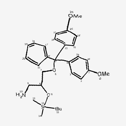 COc1ccc(C(OCC(CN)O[Si](C)(C)C(C)(C)C)(c2ccccc2)c2ccc(OC)cc2)cc1